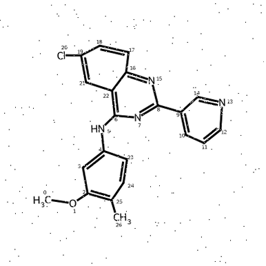 COc1cc(Nc2nc(-c3cccnc3)nc3ccc(Cl)cc23)ccc1C